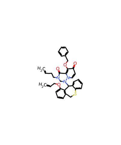 C=CCCN1CN(C2c3ccccc3SCc3cccc(OCC=C)c32)n2ccc(=O)c(OCc3ccccc3)c2C1=O